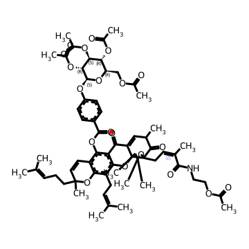 CC(=O)OCCNC(=O)/C(C)=C\CC12OC(C)(C)C(C)C13Oc1c(CC=C(C)C)c4c(c(OC(=O)c5ccc(O[C@@H]6O[C@H](COC(C)=O)[C@@H](OC(C)=O)[C@H](OC(C)=O)[C@H]6OC(C)=O)cc5)c1C(=O)C3=CC(C)C2=O)C=CC(C)(CCC=C(C)C)O4